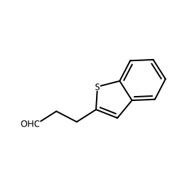 O=CCCc1cc2ccccc2s1